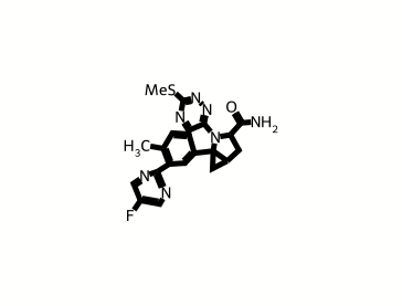 CSc1ncc(N2C(C(N)=O)CC3CC32c2ccc(C)c(-c3ncc(F)cn3)c2)nn1